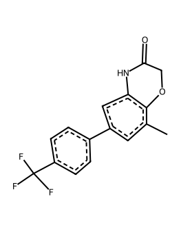 Cc1cc(-c2ccc(C(F)(F)F)cc2)cc2c1OCC(=O)N2